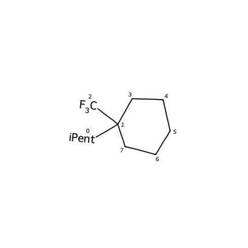 CCCC(C)C1(C(F)(F)F)CCCCC1